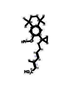 CCCOc1cc2c(cc1C1(CC/C=C/C(C)=C/C(=O)O)CC1)C(C)(C)CCC2(C)C